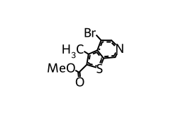 COC(=O)c1sc2cncc(Br)c2c1C